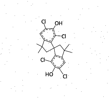 CC1(C)CC2(CC(C)(C)c3cc(Cl)c(O)c(Cl)c32)c2c1cc(Cl)c(O)c2Cl